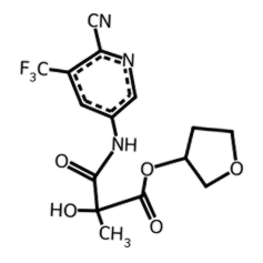 CC(O)(C(=O)Nc1cnc(C#N)c(C(F)(F)F)c1)C(=O)OC1CCOC1